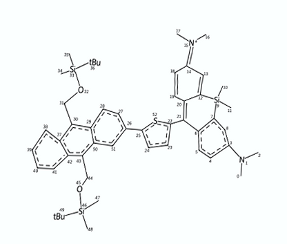 CN(C)c1ccc2c(c1)[Si](C)(C)C1=CC(=[N+](C)C)C=CC1=C2c1ccc(-c2ccc3c(CO[Si](C)(C)C(C)(C)C)c4ccccc4c(CO[Si](C)(C)C(C)(C)C)c3c2)s1